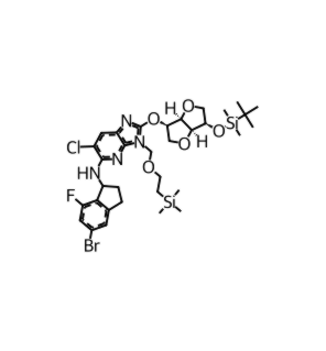 CC(C)(C)[Si](C)(C)O[C@@H]1CO[C@H]2[C@@H]1OC[C@H]2Oc1nc2cc(Cl)c(NC3CCc4cc(Br)cc(F)c43)nc2n1COCC[Si](C)(C)C